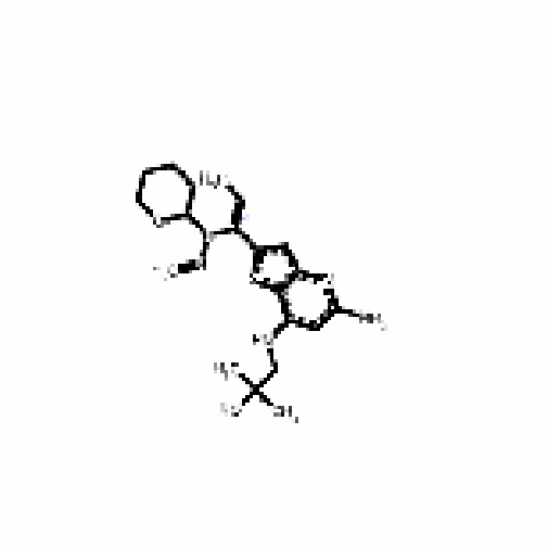 C=NN(/C(=C\C)c1cc2nc(N)cc(NCC(C)(C)O)c2s1)C1CCCCO1